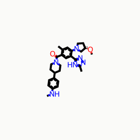 CNc1ccc(C2CCN(C(=O)c3cc(-c4nnc(C)[nH]4)c(N4CC[C@H](OC)C4)cc3C)CC2)cc1